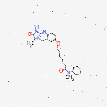 C=c1c(=O)[nH]c2n1Cc1cc(OCCCCCCC(=O)N(C)C3CCCCC3)ccc1N=2